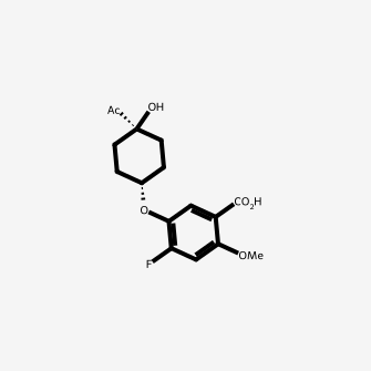 COc1cc(F)c(O[C@H]2CC[C@@](O)(C(C)=O)CC2)cc1C(=O)O